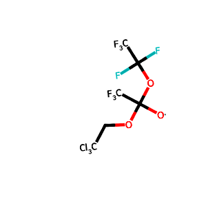 [O]C(OCC(Cl)(Cl)Cl)(OC(F)(F)C(F)(F)F)C(F)(F)F